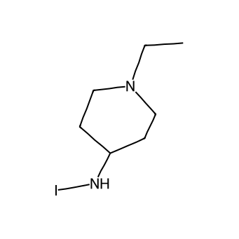 CCN1CCC(NI)CC1